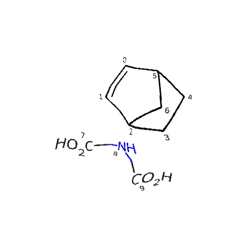 C1=CC2CCC1C2.O=C(O)NC(=O)O